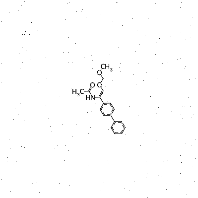 COCOC=C(NC(C)=O)c1ccc(-c2ccccc2)cc1